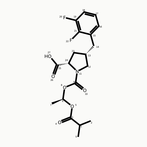 CC(C)C(=O)O[C@@H](C)OC(=O)N1C[C@@H](Cc2cccc(F)c2F)C[C@H]1C(=O)O